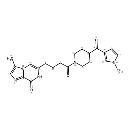 Cc1cnc2c(=O)[nH]c(CCCC(=O)N3CCC(C(=O)c4ccn(C)n4)CC3)cn12